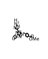 COC(=O)c1ccc(Cn2cnc3c(N4CCOCC4)nc(-c4cnc(N)nc4)nc32)cc1